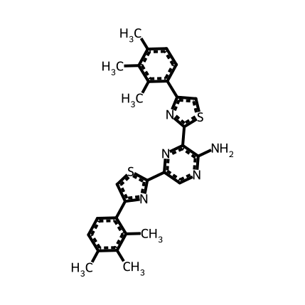 Cc1ccc(-c2csc(-c3cnc(N)c(-c4nc(-c5ccc(C)c(C)c5C)cs4)n3)n2)c(C)c1C